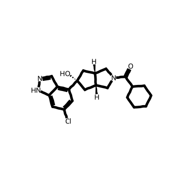 O=C(C1CCCCC1)N1C[C@@H]2C[C@@](O)(c3cc(Cl)cc4[nH]ncc34)C[C@@H]2C1